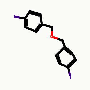 Ic1ccc(COCc2ccc(I)cc2)cc1